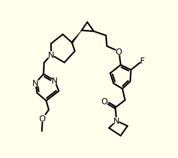 COCc1cnc(CN2CCC([C@H]3CC3CCOc3ccc(CC(=O)N4CCC4)cc3F)CC2)nc1